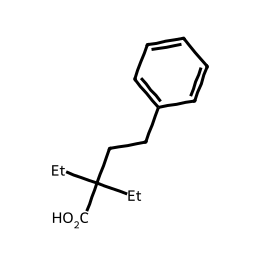 CCC(CC)(CCc1ccccc1)C(=O)O